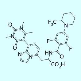 Cc1c(-c2ccc(CC(NC(=O)c3c(F)cc(N4CCCC[C@H]4C(F)(F)F)cc3F)C(=O)O)n3ccnc23)c(=O)n(C)c(=O)n1C